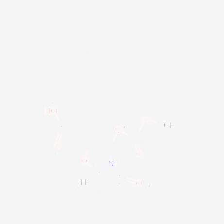 COC(=O)OC1C(=C(CCCc2ccccc2)C(=O)O)O[C@@H]2CC(=O)N12